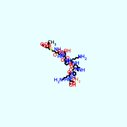 CC(=O)OC(COC=O)CSCC(N)C(=O)C(=O)CNN[C@@H](CC(=O)O)C(=O)C(=O)[C@@H]1CCCN1N[C@@H](CCCCN)C(=O)N[C@@H](Cc1c[nH]cn1)C(=O)CC(=O)[C@@H]1CCCN1C(=O)[C@H](CCCCN)NN[C@@H](CO)C(=O)P